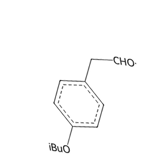 CC(C)COc1ccc(C[C]=O)cc1